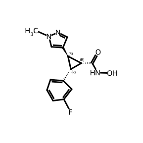 Cn1cc([C@H]2[C@H](C(=O)NO)[C@@H]2c2cccc(F)c2)cn1